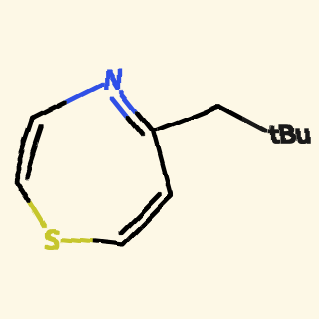 CC(C)(C)CC1=NC=CSC=C1